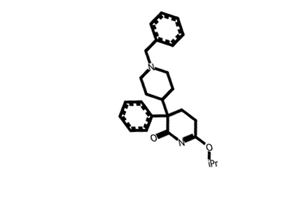 CC(C)OC1=NC(=O)C(c2ccccc2)(C2CCN(Cc3ccccc3)CC2)CC1